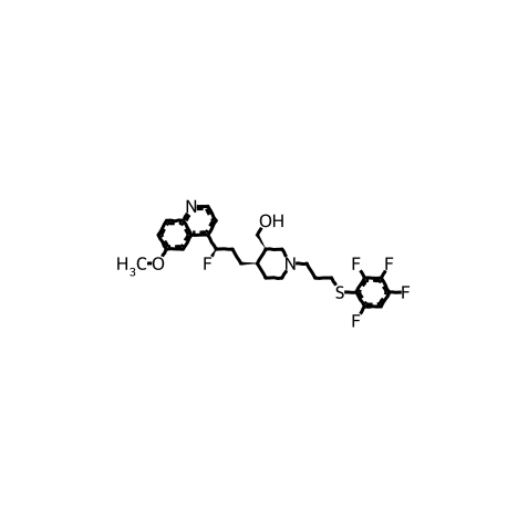 COc1ccc2nccc([C@H](F)CC[C@@H]3CCN(CCCSc4c(F)cc(F)c(F)c4F)C[C@@H]3CO)c2c1